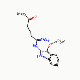 COC(=O)CCCC(=N)Nc1[nH]c2ccccc2c1OC(=O)O